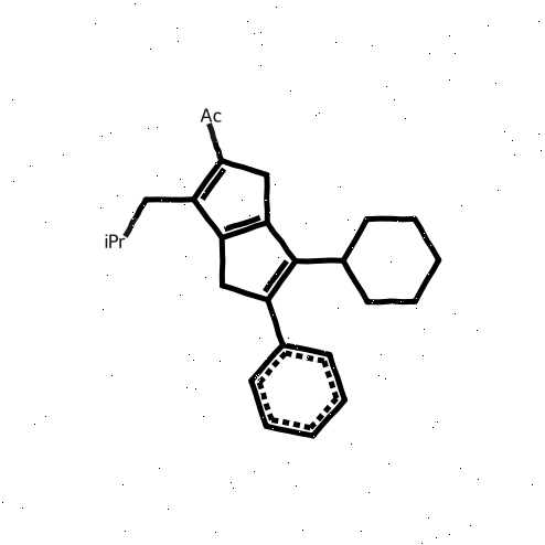 CC(=O)C1=C(CC(C)C)C2=C(C1)C(C1CCCCC1)=C(c1ccccc1)C2